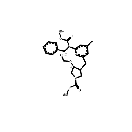 Cc1cc(CC2CN(C(=O)OC(C)(C)C)C[C@H]2OCC=O)nc(N(Cc2ccccc2)C(=O)OC(C)(C)C)c1